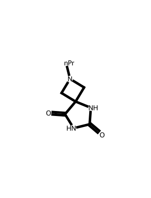 CCCN1CC2(C1)NC(=O)NC2=O